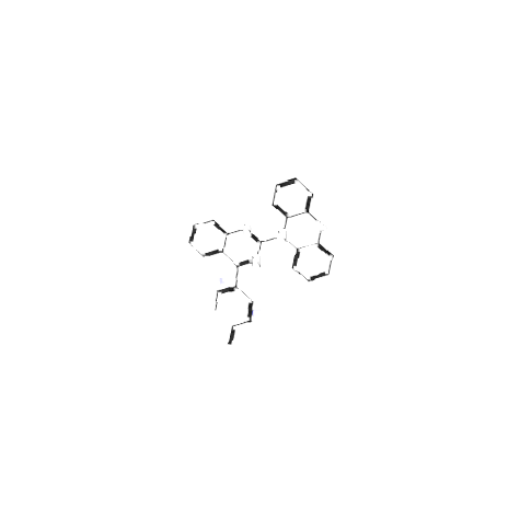 C=C/C=C\C(=C/C)c1nc(N2c3ccccc3Sc3ccccc32)nc2ccccc12